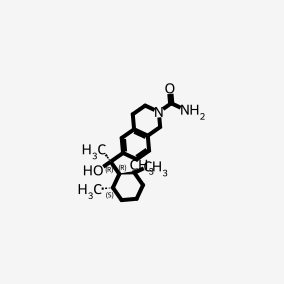 C[C@H]1CCCC(C)(C)[C@@H]1[C@@](C)(O)c1ccc2c(c1)CCN(C(N)=O)C2